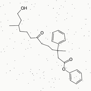 CC(CCO)CCCC(=O)CCCC(C)(CC(=O)Oc1ccccc1)c1ccccc1